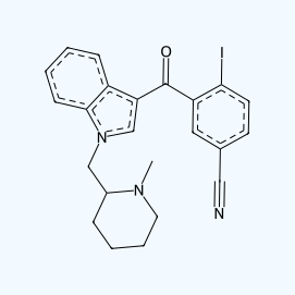 CN1CCCCC1Cn1cc(C(=O)c2cc(C#N)ccc2I)c2ccccc21